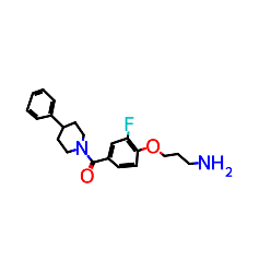 NCCCOc1ccc(C(=O)N2CCC(c3ccccc3)CC2)cc1F